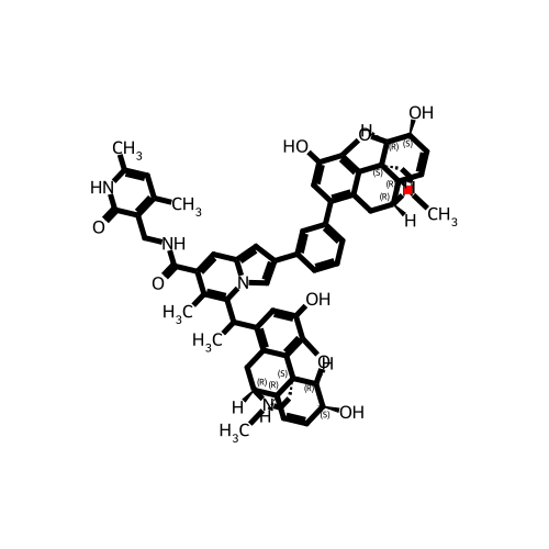 Cc1cc(C)c(CNC(=O)c2cc3cc(-c4cccc(-c5cc(O)c6c7c5C[C@@H]5[C@@H]8C=C[C@H](O)[C@H](O6)[C@]78CCN5C)c4)cn3c(C(C)c3cc(O)c4c5c3C[C@@H]3[C@@H]6C=C[C@H](O)[C@H](O4)[C@]56CCN3C)c2C)c(=O)[nH]1